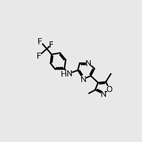 Cc1noc(C)c1-c1cncc(Nc2ccc(C(F)(F)F)cc2)n1